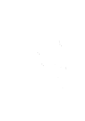 Cn1c(C(O)(CC23CC(c4ccccc42)c2ccccc23)C2CCNCC2)cnc1-c1ccccc1